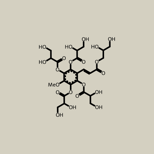 COc1c(OC(=O)C(O)CO)c(OC(=O)C(O)CO)c(C=CC(=O)OCC(O)CO)c(OC(=O)C(O)CO)c1OC(=O)C(O)CO